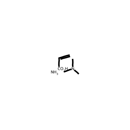 C=CC(=O)O.CN(C)C.N